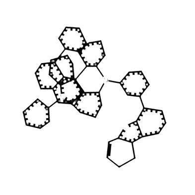 C1=Cc2sc3c(-c4cccc(N(c5ccccc5-c5cccc6cccc(-c7ccccc7)c56)c5cccc6c5c5ccccc5n6-c5ccccc5)c4)cccc3c2CC1